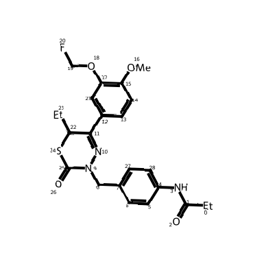 CCC(=O)Nc1ccc(CN2N=C(c3ccc(OC)c(OCF)c3)C(CC)SC2=O)cc1